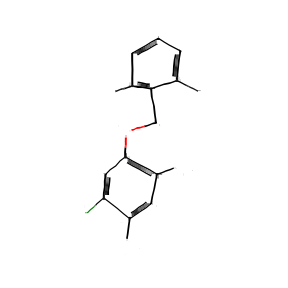 CCOC(=O)c1cccc(CC)c1COc1cc(Cl)c(C)cc1C